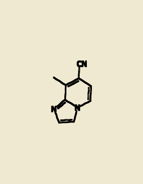 Cc1c(C#N)ccn2ccnc12